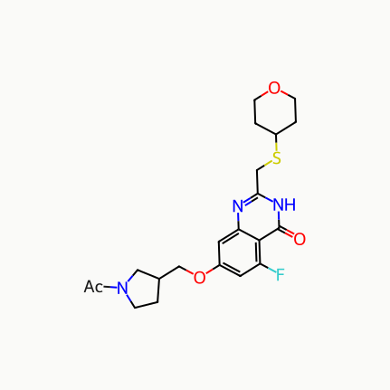 CC(=O)N1CCC(COc2cc(F)c3c(=O)[nH]c(CSC4CCOCC4)nc3c2)C1